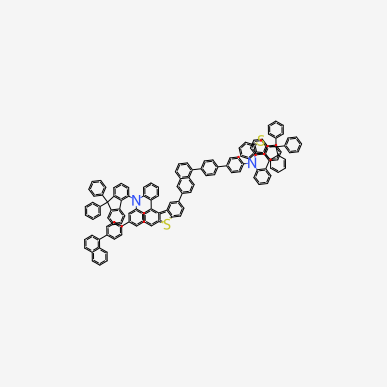 C1=CC2c3c(N(c4ccc(-c5ccc(-c6cccc7cc(-c8ccc9sc%10cccc(-c%11ccccc%11N(c%11cccc(-c%12ccc(-c%13cccc%14ccccc%13%14)cc%12)c%11)c%11cccc%12c%11-c%11ccccc%11C%12(c%11ccccc%11)c%11ccccc%11)c%10c9c8)ccc67)cc5)cc4)c4ccccc4-c4cccc5sc6ccccc6c45)cccc3C(c3ccccc3)(c3ccccc3)C2C=C1